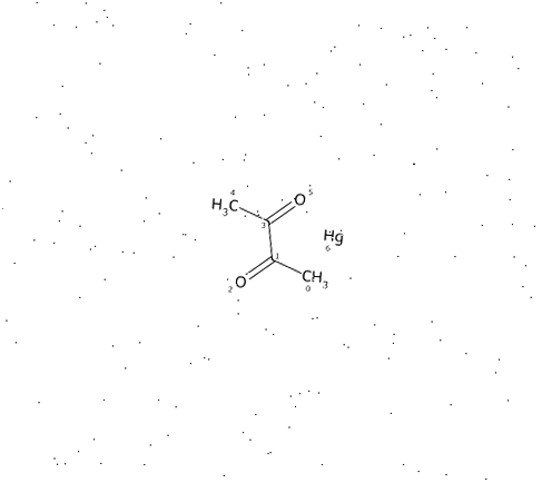 CC(=O)C(C)=O.[Hg]